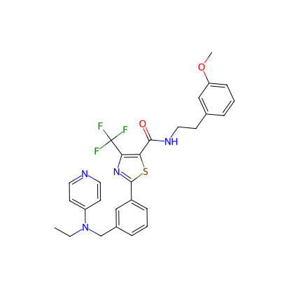 CCN(Cc1cccc(-c2nc(C(F)(F)F)c(C(=O)NCCc3cccc(OC)c3)s2)c1)c1ccncc1